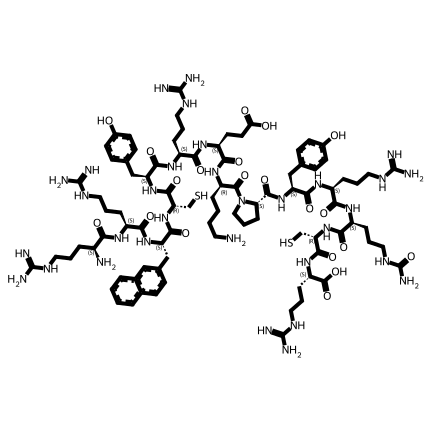 N=C(N)NCCC[C@H](NC(=O)[C@H](CS)NC(=O)[C@H](CCCNC(N)=O)NC(=O)[C@H](CCCNC(=N)N)NC(=O)[C@H](Cc1ccc(O)cc1)NC(=O)[C@@H]1CCCN1C(=O)[C@@H](CCCCN)NC(=O)[C@H](CCC(=O)O)NC(=O)[C@H](CCCNC(=N)N)NC(=O)[C@H](Cc1ccc(O)cc1)NC(=O)[C@H](CS)NC(=O)[C@H](Cc1ccc2ccccc2c1)NC(=O)[C@H](CCCNC(=N)N)NC(=O)[C@@H](N)CCCNC(=N)N)C(=O)O